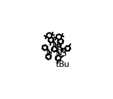 Cc1ccc2sc3c(c2c1)B1c2ccc4c(c2N(c2cc5c(cc2C)C(C)(C)CCC5(C)C)c2cc(N(c5ccccc5)c5ccccc5)cc(c21)N3C1C=CC(C(C)(C)C)=CC1C)C(C)(C)CCC4(C)C